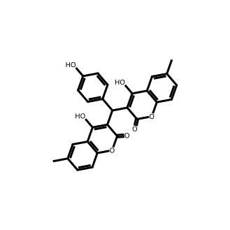 Cc1ccc2oc(=O)c(C(c3ccc(O)cc3)c3c(O)c4cc(C)ccc4oc3=O)c(O)c2c1